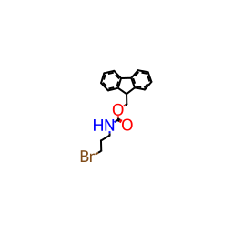 O=C(NCCCBr)OCC1c2ccccc2-c2ccccc21